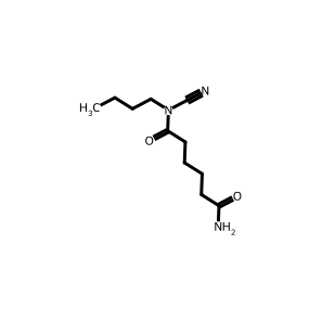 CCCCN(C#N)C(=O)CCCCC(N)=O